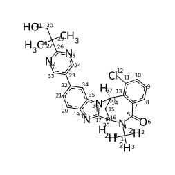 [2H]C([2H])([2H])N1C(=O)c2cccc(Cl)c2[C@H]2C[C@@H]1c1nc3ccc(-c4cnc(C(C)(C)CO)nc4)cc3n12